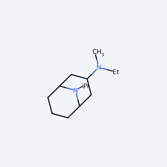 CCN(C)C1CC2CCCC(C1)N2C(C)C